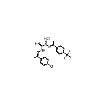 CC(=NNC(=N)NN=C(C)c1ccc(C(F)(F)F)cc1)c1ccc(Cl)cc1.Cl